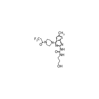 Cc1cc2c(N3CCN(C(=O)CC(F)(F)F)CC3)nc(NC(=O)NCCCO)nc2s1